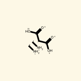 CN.CN.O=C(O)CC(=O)O